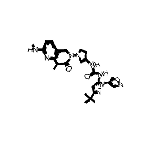 CNc1ccc2c(n1)C(C)C(=O)N(N1CCC(NC(=O)Nc3cc(C(C)(C)C)nn3-c3cnoc3)C1)C2